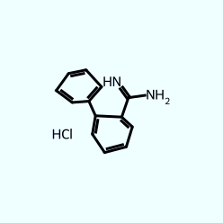 Cl.N=C(N)c1ccccc1-c1ccccc1